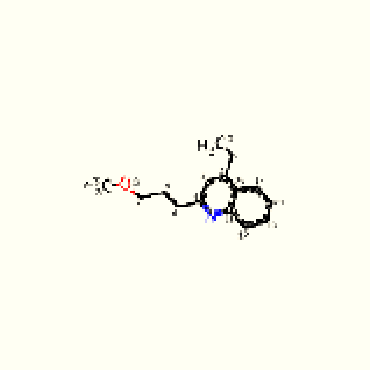 CCc1cc(CCCOC)nc2ccccc12